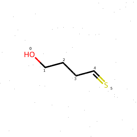 OCCCC=S